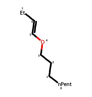 [CH2]CCCCCCCOC=CCC